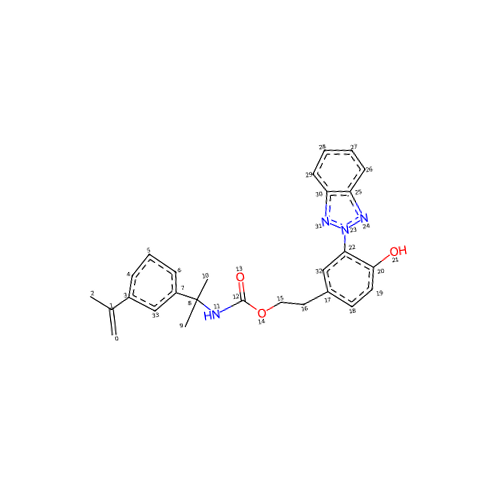 C=C(C)c1cccc(C(C)(C)NC(=O)OCCc2ccc(O)c(-n3nc4ccccc4n3)c2)c1